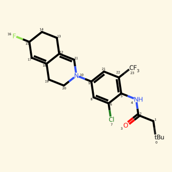 CC(C)(C)CC(=O)Nc1c(Cl)cc(N2C=C3CCC(F)C=C3CC2)cc1C(F)(F)F